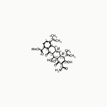 COC(=O)c1ccc(N(C)C)c2c1C(=O)C1C(O)[C@]3(O)C(=O)C(C(N)=O)=C(O)[C@@H](N(C)C)[C@@H]3C[C@@H]1C2